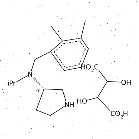 Cc1cccc(CN(C(C)C)[C@H]2CCNC2)c1C.O=C(O)C(O)C(O)C(=O)O